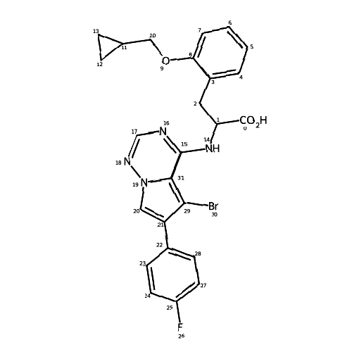 O=C(O)C(Cc1ccccc1OCC1CC1)Nc1ncnn2cc(-c3ccc(F)cc3)c(Br)c12